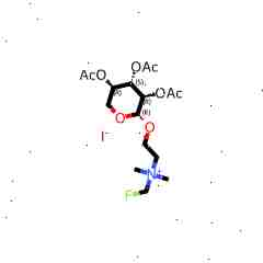 CC(=O)O[C@@H]1[C@@H](OC(C)=O)[C@H](OCC[N+](C)(C)CF)OC[C@H]1OC(C)=O.[I-]